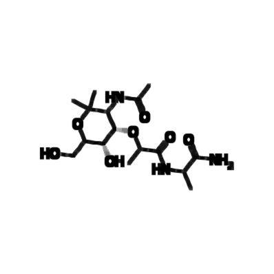 CC(=O)NC1[C@H](OC(C)C(=O)NC(C)C(N)=O)[C@H](O)C(CO)OC1(C)C